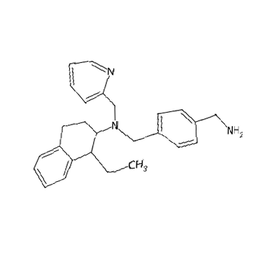 CCC1c2ccccc2CCC1N(Cc1ccc(CN)cc1)Cc1ccccn1